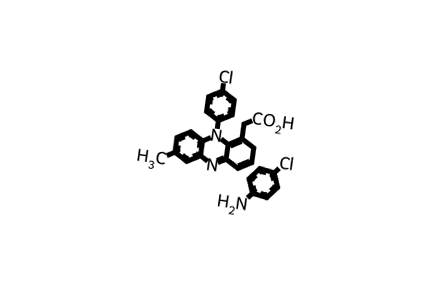 Cc1ccc2c(c1)N=C1C=CCC(CC(=O)O)=C1N2c1ccc(Cl)cc1.Nc1ccc(Cl)cc1